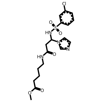 COC(=O)CCCCNC(=O)CC(NS(=O)(=O)c1cccc(Cl)c1)n1ccnc1